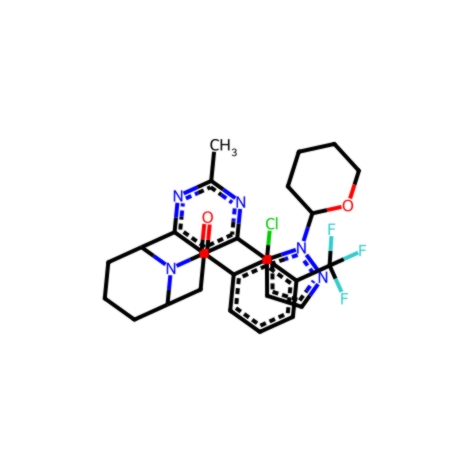 Cc1nc(-c2ccnn2C2CCCCO2)c2c(n1)C1CCCC(C2)N1C(=O)c1cccc(C(F)(F)F)c1Cl